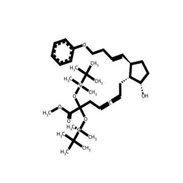 COC(=O)C(CC=C=CC[C@H]1[C@@H](O)CC[C@@H]1C=CCCOc1ccccc1)(O[Si](C)(C)C(C)(C)C)O[Si](C)(C)C(C)(C)C